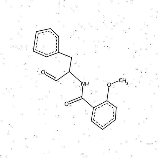 COc1ccccc1C(=O)NC(C=O)Cc1ccccc1